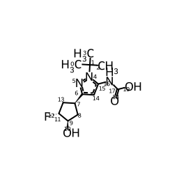 CC(C)(C)n1nc([C@H]2C[C@@H](O)[C@H](F)C2)cc1NC(=O)O